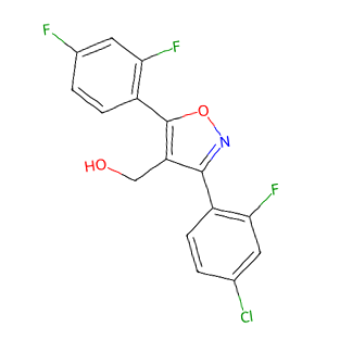 OCc1c(-c2ccc(Cl)cc2F)noc1-c1ccc(F)cc1F